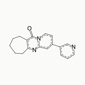 O=c1c2c(nc3cc(-c4cccnc4)ccn13)CCCCC2